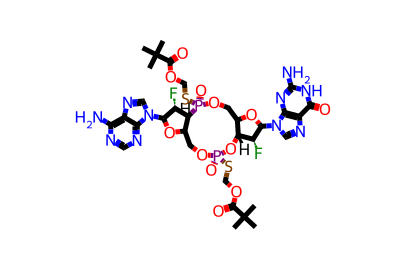 CC(C)(C)C(=O)OCSP1(=O)OCC2OC(n3cnc4c(N)ncnc43)[C@H](F)[C@@H]2P(=O)(SCOC(=O)C(C)(C)C)OCC2OC(n3cnc4c(=O)[nH]c(N)nc43)[C@H](F)[C@@H]2O1